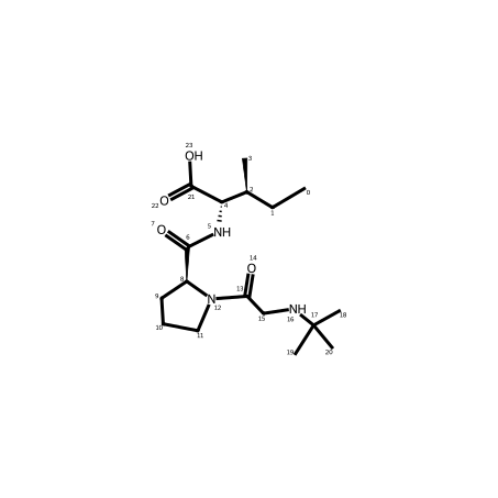 CC[C@H](C)[C@H](NC(=O)[C@@H]1CCCN1C(=O)CNC(C)(C)C)C(=O)O